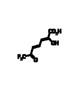 O=C(O)C(O)=CC=CC(=O)C(F)(F)F